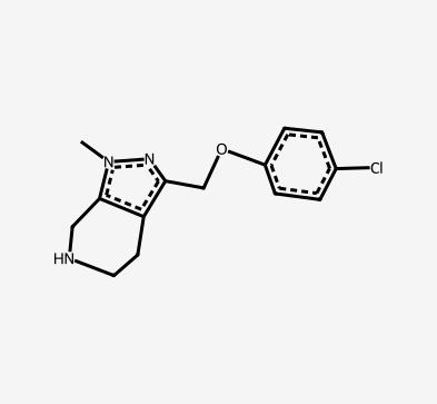 Cn1nc(COc2ccc(Cl)cc2)c2c1CNCC2